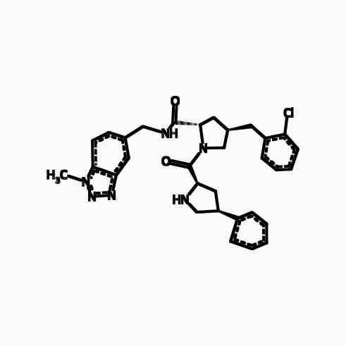 Cn1nnc2cc(CNC(=O)[C@@H]3C[C@@H](Cc4ccccc4Cl)CN3C(=O)[C@H]3C[C@@H](c4ccccc4)CN3)ccc21